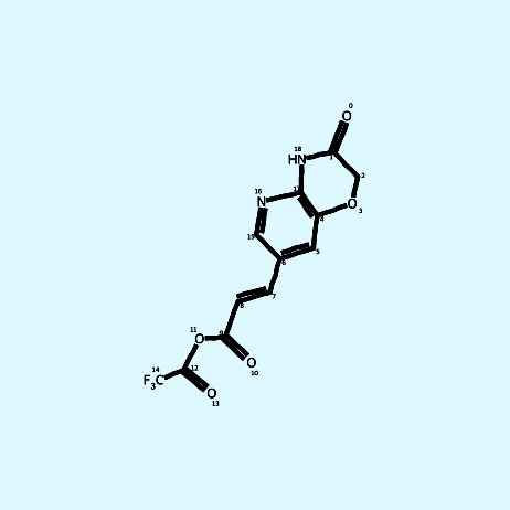 O=C1COc2cc(/C=C/C(=O)OC(=O)C(F)(F)F)cnc2N1